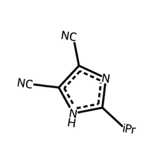 CC(C)c1nc(C#N)c(C#N)[nH]1